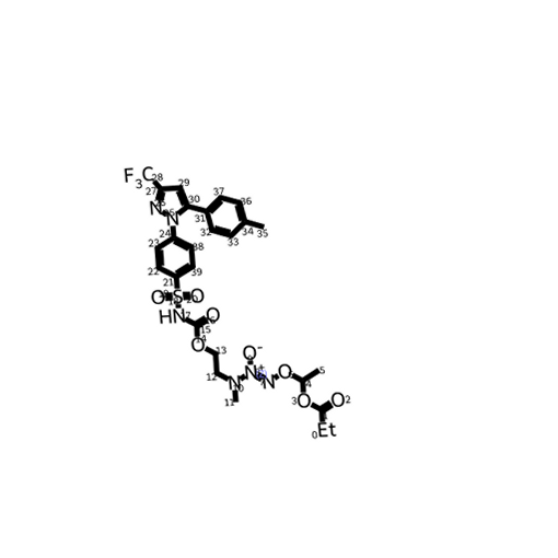 CCC(=O)OC(C)O/N=[N+](\[O-])N(C)CCOC(=O)NS(=O)(=O)c1ccc(-n2nc(C(F)(F)F)cc2-c2ccc(C)cc2)cc1